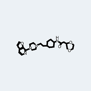 O=C(CC1COCCO1)NC1CCC(CCN2CCN(c3nccc4ccoc34)CC2)CC1